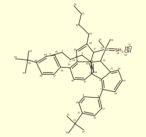 CCCCC1=Cc2c(-c3ccc(C(C)(C)C)cc3)cccc2[CH]1[Zr]([CH3])([CH3])(=[SiH2])[CH]1C(CCCC)=Cc2c(-c3ccc(C(C)(C)C)cc3)cccc21.Cl.Cl